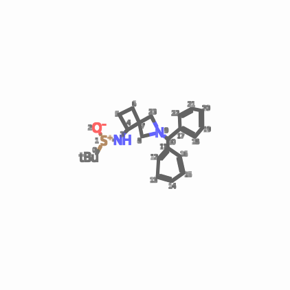 CC(C)(C)[S+]([O-])NC1CCC12CN(C(c1ccccc1)c1ccccc1)C2